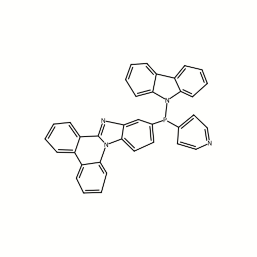 c1ccc2c(c1)c1ccccc1n1c3ccc(P(c4ccncc4)n4c5ccccc5c5ccccc54)cc3nc21